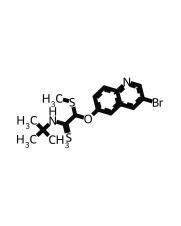 CSC(Oc1ccc2ncc(Br)cc2c1)C(=S)NC(C)(C)C